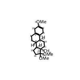 COC1=CCC2=C(CC[C@@H]3[C@@H]2CC[C@@]2(C)[C@H]3CCC2(OC)OC)C1